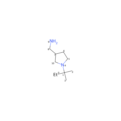 CCC(C)(C)N1CCC(CN)C1